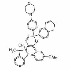 COc1ccc2c3c(c4c(c2c1)OC(c1ccc(N2CCOCC2)cc1)(c1ccc2c(c1)C=CCC2)C=C4)C(C)(C)c1ccccc1-3